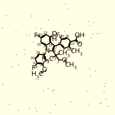 COCC(C)(C)c1c(-c2cc(C)c(C(=O)O)cc2F)c2c(O)cc(F)cc2n1-c1ccc(F)c(OC)c1